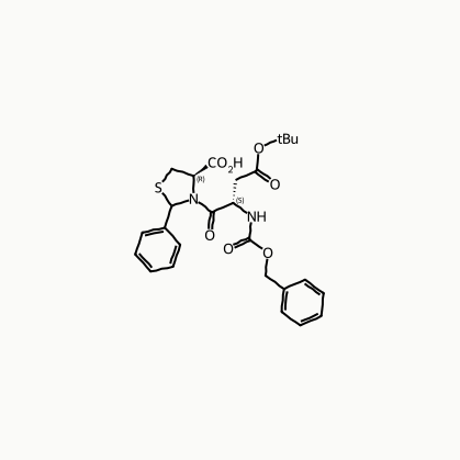 CC(C)(C)OC(=O)C[C@H](NC(=O)OCc1ccccc1)C(=O)N1C(c2ccccc2)SC[C@H]1C(=O)O